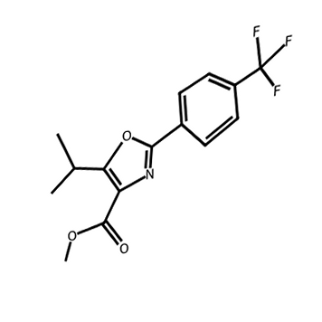 COC(=O)c1nc(-c2ccc(C(F)(F)F)cc2)oc1C(C)C